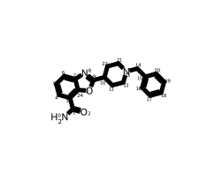 NC(=O)c1cccc2nc(C3CCN(Cc4ccccc4)CC3)oc12